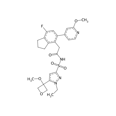 CCn1nc(S(=O)(=O)NC(=O)Cc2c(-c3ccnc(OC)c3)cc(F)c3c2CCC3)cc1C1(OC)COC1